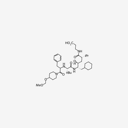 CCCC[C@H](NC(Cc1ccccc1)C(=O)N1CCC(OCOC)CC1)C(=O)N[C@@H](CC1CCCCC1)[C@@H](O)C[C@H](C(=O)NCCC(=O)O)C(C)C